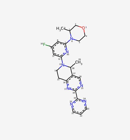 CC1COCCN1c1cc(F)cc(N2CCc3nc(-c4ncccn4)ncc3C2C)n1